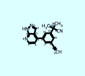 C#Cc1cc(-c2ccnc3[nH]ncc23)cc(C(C)(C)C#N)c1